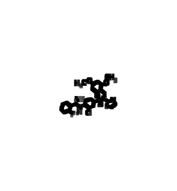 COc1ccc(CN(c2nccs2)S(=O)(=O)c2ccc(N[C@@H](N)c3ccccc3F)c(Cl)c2)c(OC)c1